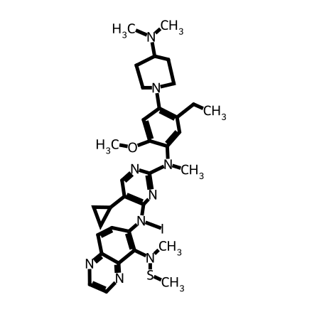 CCc1cc(N(C)c2ncc(C3CC3)c(N(I)c3ccc4nccnc4c3N(C)SC)n2)c(OC)cc1N1CCC(N(C)C)CC1